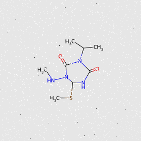 CNN1C(=O)N(C(C)C)C(=O)NC1SC